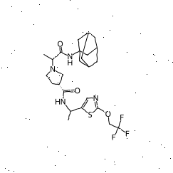 CC(NC(=O)[C@@H]1CCN(C(C)C(=O)NC23CC4CC(CC(C4)C2)C3)C1)c1cnc(OCC(F)(F)F)s1